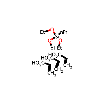 C=CC(=O)O.C=CC(=O)O.C=CC(=O)O.CCC[Si](OCC)(OCC)OCC